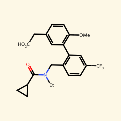 CCN(Cc1ccc(C(F)(F)F)cc1-c1cc(CC(=O)O)ccc1OC)C(=O)C1CC1